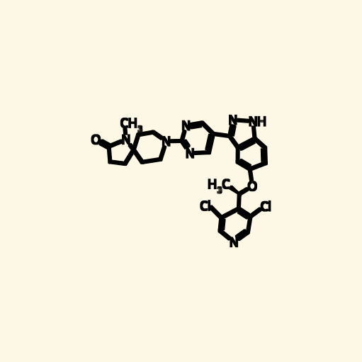 C[C@@H](Oc1ccc2[nH]nc(-c3cnc(N4CCC5(CCC(=O)N5C)CC4)nc3)c2c1)c1c(Cl)cncc1Cl